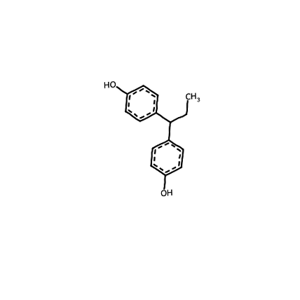 CCC(c1ccc(O)cc1)c1ccc(O)cc1